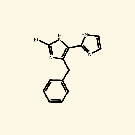 CCc1nc(Cc2ccccc2)c(-c2ncc[nH]2)[nH]1